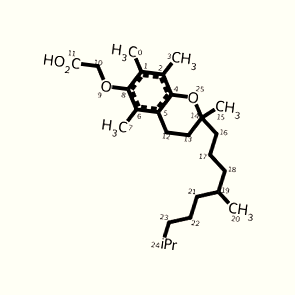 Cc1c(C)c2c(c(C)c1OCC(=O)O)CCC(C)(CCCC(C)CCCC(C)C)O2